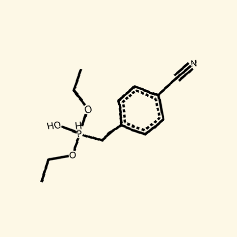 CCO[PH](O)(Cc1ccc(C#N)cc1)OCC